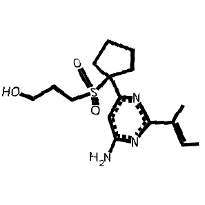 C/C=C(\C)c1nc(N)cc(C2(S(=O)(=O)CCCO)CCCC2)n1